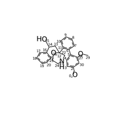 COc1ccc(-c2ccccc2C2(CC(O)c3ccccc3)CNCCO2)c(OC)c1